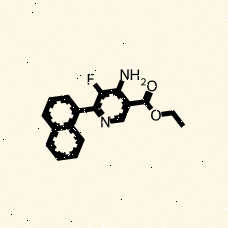 CCOC(=O)c1cnc(-c2cccc3ccccc23)c(F)c1N